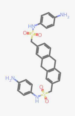 Nc1ccc(NS(=O)(=O)Cc2ccc3c(c2)Cc2cc(CS(=O)(=O)Nc4ccc(N)cc4)ccc2C3)cc1